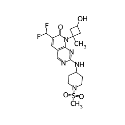 CC1(n2c(=O)c(C(F)F)cc3cnc(NC4CCN(S(C)(=O)=O)CC4)nc32)CC(O)C1